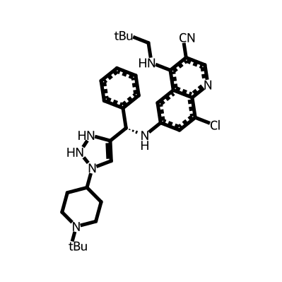 CC(C)(C)CNc1c(C#N)cnc2c(Cl)cc(N[C@H](C3=CN(C4CCN(C(C)(C)C)CC4)NN3)c3ccccc3)cc12